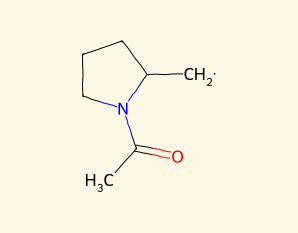 [CH2]C1CCCN1C(C)=O